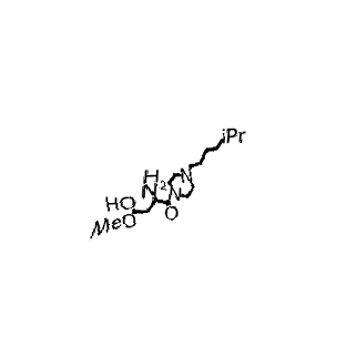 COC(O)CC(N)C(=O)N1CCN(CCCCC(C)C)CC1